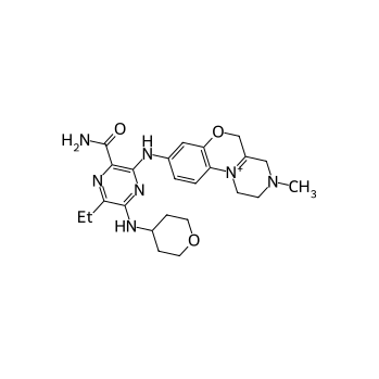 CCc1nc(C(N)=O)c(Nc2ccc3c(c2)OCC2=[N+]3CCN(C)C2)nc1NC1CCOCC1